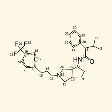 CC(C)C(C(=O)NC1CCC2CN(CCCc3ccc(C(F)(F)F)cc3)CC21)c1ccccc1